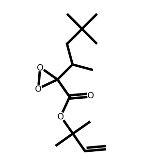 C=CC(C)(C)OC(=O)C1(C(C)CC(C)(C)C)OO1